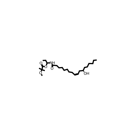 CCCCCC[C@@H](O)C/C=C\CCCCCCCC(=O)NC(CC)OC(=O)C(C)(C)OC